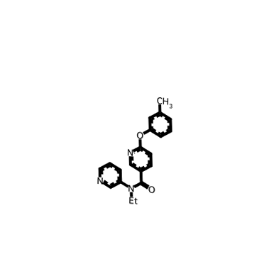 CCN(C(=O)c1ccc(Oc2cccc(C)c2)nc1)c1cccnc1